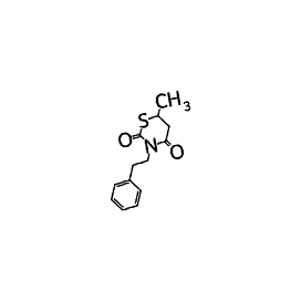 CC1CC(=O)N(CCc2ccccc2)C(=O)S1